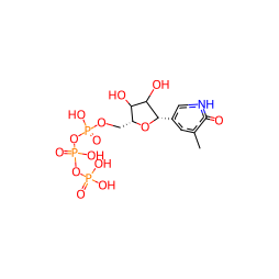 Cc1cc([C@@H]2O[C@H](COP(=O)(O)OP(=O)(O)OP(=O)(O)O)C(O)C2O)c[nH]c1=O